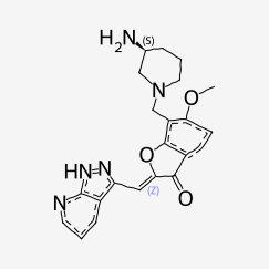 COc1ccc2c(c1CN1CCC[C@H](N)C1)O/C(=C\c1n[nH]c3ncccc13)C2=O